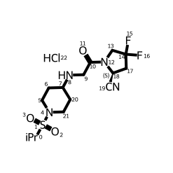 CC(C)S(=O)(=O)N1CCC(NCC(=O)N2CC(F)(F)C[C@H]2C#N)CC1.Cl